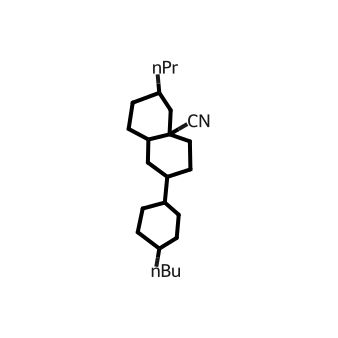 CCCCC1CCC(C2CCC3(C#N)CC(CCC)CCC3C2)CC1